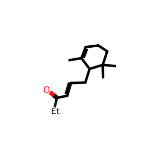 CCC(=O)C=CCC1C(C)=CCCC1(C)C